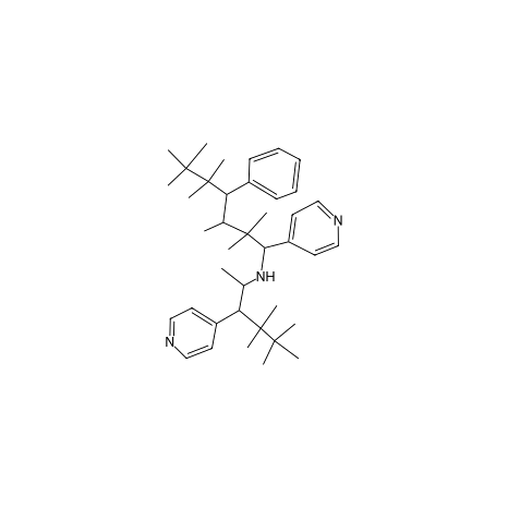 CC(NC(c1ccncc1)C(C)(C)C(C)C(c1ccccc1)C(C)(C)C(C)(C)C)C(c1ccncc1)C(C)(C)C(C)(C)C